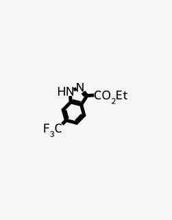 CCOC(=O)c1n[nH]c2cc(C(F)(F)F)ccc12